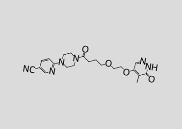 Cc1c(OCCOCCCC(=O)N2CCN(c3ccc(C#N)cn3)CC2)cn[nH]c1=O